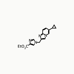 CCOC(=O)c1cn(Cc2cn3cc(C4CC4)ccc3n2)cn1